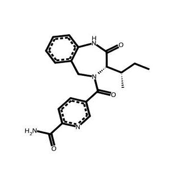 CC[C@H](C)[C@H]1C(=O)Nc2ccccc2CN1C(=O)c1ccc(C(N)=O)nc1